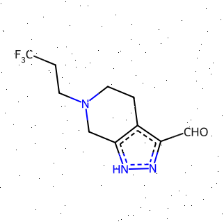 O=Cc1n[nH]c2c1CCN(CCC(F)(F)F)C2